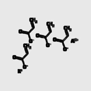 C=CC(=O)[O-].C=CC(=O)[O-].C=CC(=O)[O-].C=CC(=O)[O-].[Al+3].[K+]